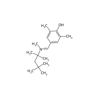 Cc1cc(/C=[N+](\C)C(C)(C)CC(C)(C)C)cc(C)c1O